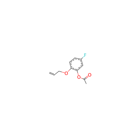 C=CCOc1ccc(F)cc1OC(C)=O